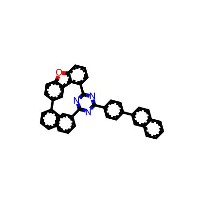 c1ccc(-c2ccc3oc4cccc(-c5nc(-c6ccccc6)nc(-c6ccc(-c7ccc8ccccc8c7)cc6)n5)c4c3c2)cc1